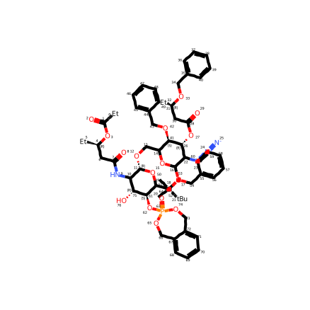 CCC(=O)O[C@H](CC)CC(=O)NC1[C@H](OCC2OC(O[Si](C)(C)C(C)(C)C)C(N=[N+]=[N-])[C@@H](OC(=O)C[C@@H](CC)OCc3ccccc3)[C@@H]2OCc2ccccc2)OC(COCc2ccccc2)[C@@H](OP2(=O)OCc3ccccc3CO2)[C@@H]1O